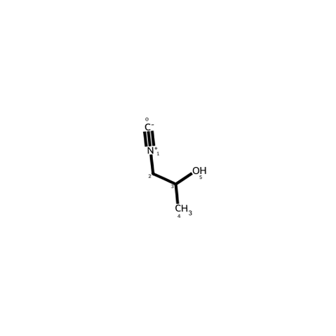 [C-]#[N+]CC(C)O